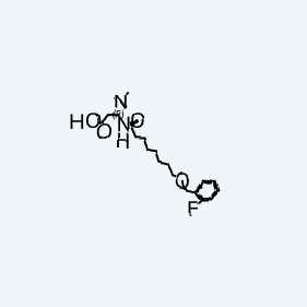 CN(C)C[C@@H](CC(=O)O)NC(=O)CCCCCCCOCc1ccccc1F